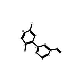 C=Cc1cccc(-c2cc(C)ccc2C)c1